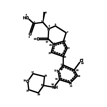 C[C@H](C(=O)O)N1CCc2cc(-c3nc(NC4CCOCC4)ncc3Cl)cn2C1=O